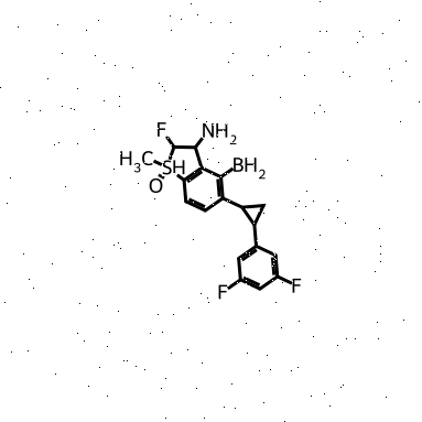 Bc1c(C2CC2c2cc(F)cc(F)c2)ccc2c1C(N)C(F)[SH]2(C)=O